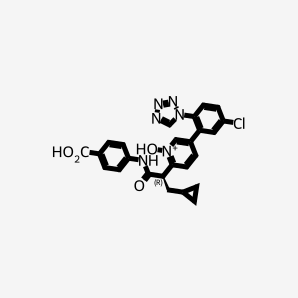 O=C(O)c1ccc(NC(=O)[C@H](CC2CC2)c2ccc(-c3cc(Cl)ccc3-n3cnnn3)c[n+]2O)cc1